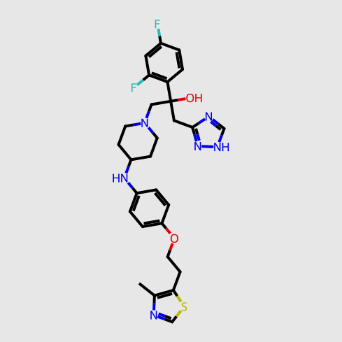 Cc1ncsc1CCOc1ccc(NC2CCN(CC(O)(Cc3nc[nH]n3)c3ccc(F)cc3F)CC2)cc1